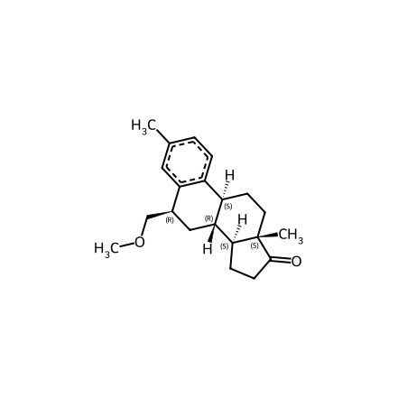 COC[C@@H]1C[C@@H]2[C@H](CC[C@]3(C)C(=O)CC[C@@H]23)c2ccc(C)cc21